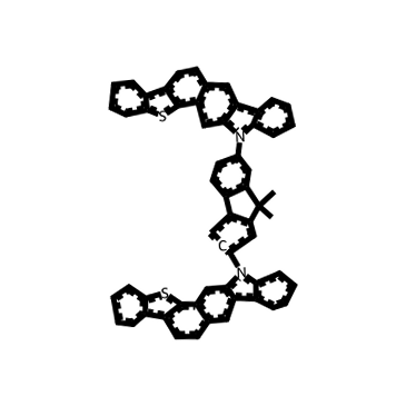 CC1(C)c2cc(-n3c4ccccc4c4cc5ccc6c7ccccc7sc6c5cc43)ccc2-c2ccc(-n3c4ccccc4c4cc5ccc6c7ccccc7sc6c5cc43)cc21